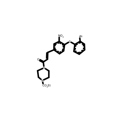 CCOC(=O)N1CCN(C(=O)C=Cc2ccc(Sc3ccccc3C(C)C)c([N+](=O)[O-])c2)CC1